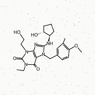 CCn1c(=O)c2c(nc(N[C@@H]3CCC[C@H]3O)n2Cc2ccc(OC)c(C)c2)n(CCO)c1=O